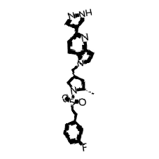 C[C@H]1C[C@H](Cn2ccc3nc(-c4cn[nH]c4)ccc32)CN1S(=O)(=O)CCc1cccc(F)c1